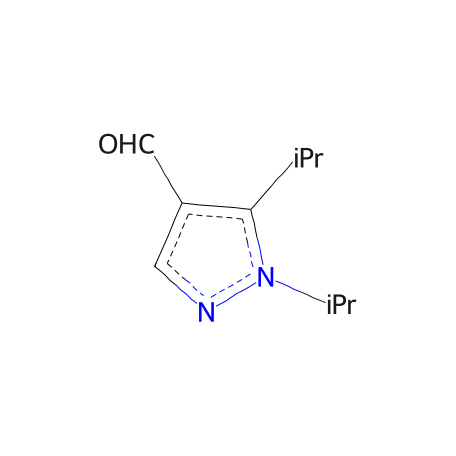 CC(C)c1c(C=O)cnn1C(C)C